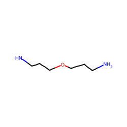 [NH]CCCOCCCN